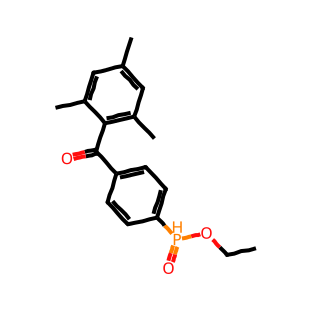 CCO[PH](=O)c1ccc(C(=O)c2c(C)cc(C)cc2C)cc1